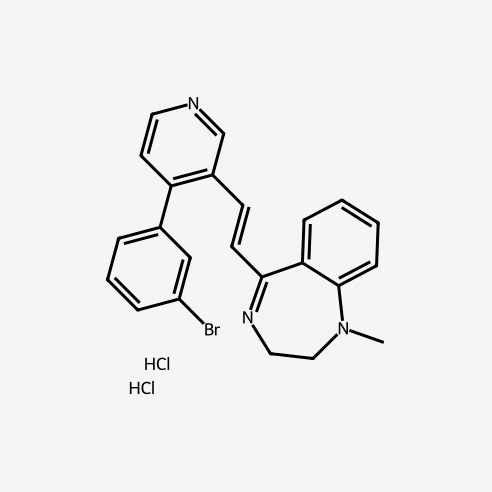 CN1CCN=C(C=Cc2cnccc2-c2cccc(Br)c2)c2ccccc21.Cl.Cl